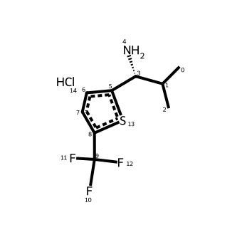 CC(C)[C@@H](N)c1ccc(C(F)(F)F)s1.Cl